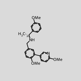 COc1cccc([C@@H](C)NCc2ccc(OC)c(-c3ccc(OC)nc3)c2)c1